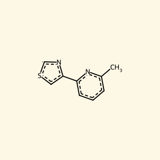 Cc1cccc(-c2cs[c]n2)n1